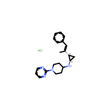 C/C(=C\c1ccccc1)[C@@H]1C[C@H]1NC1CCN(c2ncccn2)CC1.Cl